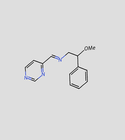 COC(CN=Cc1ccncn1)c1ccccc1